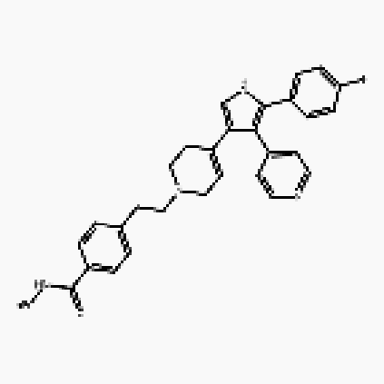 CCCNC(=O)c1ccc(CCN2CC=C(c3c[nH]c(-c4ccc(F)cc4)c3-c3ccncc3)CC2)cc1